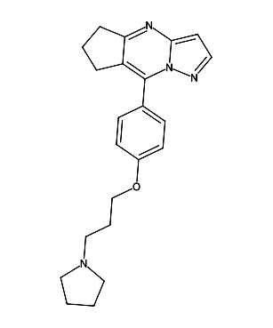 c1cc2nc3c(c(-c4ccc(OCCCN5CCCC5)cc4)n2n1)CCC3